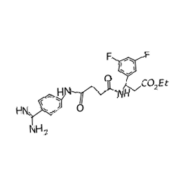 CCOC(=O)CC(NC(=O)CCC(=O)Nc1ccc(C(=N)N)cc1)c1cc(F)cc(F)c1